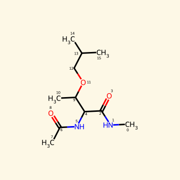 CNC(=O)C(NC(C)=O)C(C)OCC(C)C